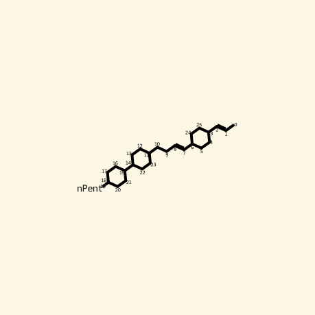 CC=CC1CCC(C=CCCC2CCC(C3CCC(CCCCC)CC3)CC2)CC1